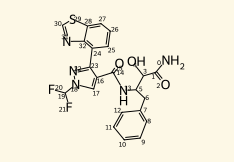 NC(=O)C(O)C(Cc1ccccc1)NC(=O)c1cn(C(F)F)nc1-c1cccc2scnc12